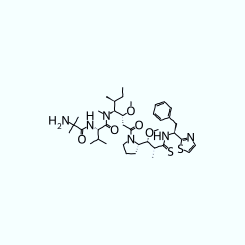 CC[C@H](C)[C@@H]([C@@H](CC(=O)N1CCC[C@H]1[C@H](OC)[C@@H](C)C(=S)N[C@@H](Cc1ccccc1)c1nccs1)OC)N(C)C(=O)[C@@H](NC(=O)C(C)(C)N)C(C)C